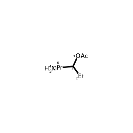 CCCC(CC)OC(C)=O.N